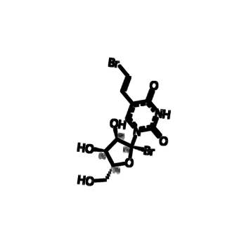 O=c1[nH]c(=O)n([C@]2(Br)O[C@H](CO)[C@@H](O)[C@H]2O)cc1C=CBr